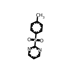 Cc1ccc(S(=O)(=O)c2ncccn2)cc1